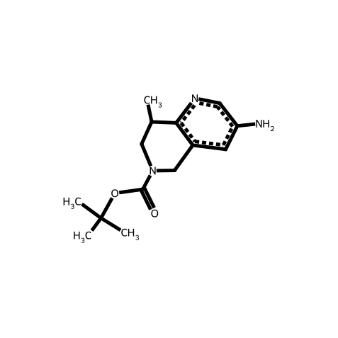 CC1CN(C(=O)OC(C)(C)C)Cc2cc(N)cnc21